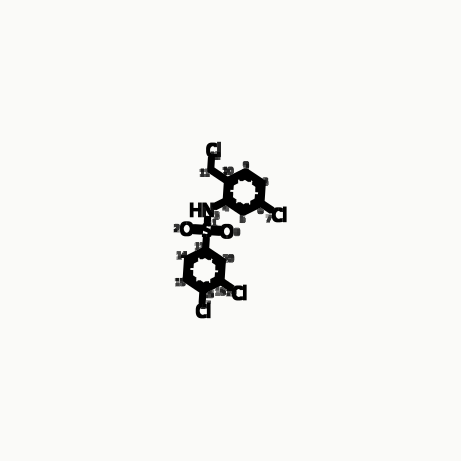 O=S(=O)(Nc1cc(Cl)ccc1CCl)c1ccc(Cl)c(Cl)c1